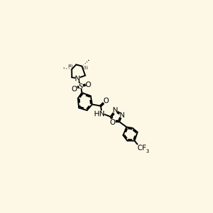 C[C@@H]1C[C@H](C)CN(S(=O)(=O)c2cccc(C(=O)Nc3nnc(-c4ccc(C(F)(F)F)cc4)o3)c2)C1